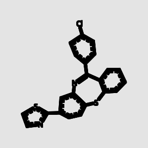 Clc1ccc(C2=Nc3cc(-c4nccs4)ccc3Sc3ccccc32)cc1